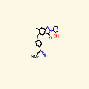 CN/C=C(\N=N)c1ccc(Cc2cc3c(cc2C)CN([C@H]2CCC[C@@H]2O)C3=O)cc1